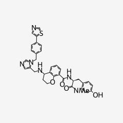 CNC(=O)[C@H](Cc1ccc(O)cc1)NC(=O)c1cccc2c1OCCC2NCc1cncn1Cc1ccc(-c2cncs2)cc1